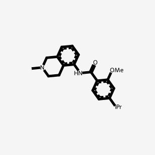 COc1cc(C(C)C)ccc1C(=O)Nc1cccc2c1CCN(C)C2